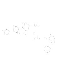 COc1cnc(-c2cnc(-n3ccnc3)cn2)c2c1C(C(=O)C(=O)N1CCN(c3nnnn3-c3ccccc3)CC1)CN2